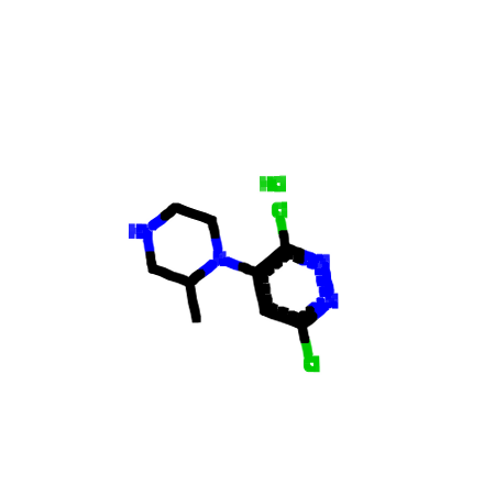 CC1CNCCN1c1cc(Cl)nnc1Cl.Cl